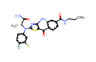 COCCNC(=O)c1ccc(C(=O)c2sc(N(c3ccc(Cl)c(F)c3)[C@H](C)C(N)=O)nc2N)cc1